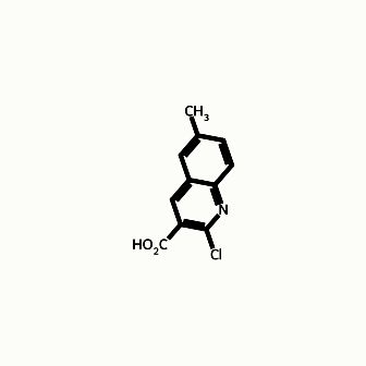 Cc1ccc2nc(Cl)c(C(=O)O)cc2c1